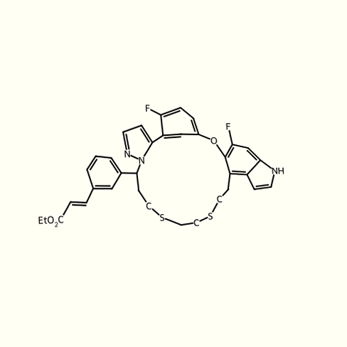 CCOC(=O)/C=C/c1cccc(C2CCSCCSCCc3c(c(F)cc4[nH]ccc34)Oc3ccc(F)c(c3)-c3ccnn32)c1